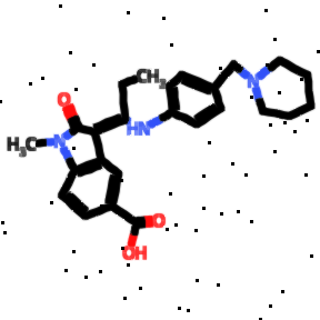 CCC(Nc1ccc(CN2CCCCC2)cc1)=C1C(=O)N(C)c2ccc(C(=O)O)cc21